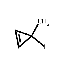 CC1(I)C=C1